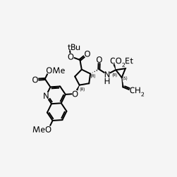 C=C[C@@H]1C[C@]1(NC(=O)[C@@H]1C[C@@H](Oc2cc(C(=O)OC)nc3cc(OC)ccc23)CC1C(=O)OC(C)(C)C)C(=O)OCC